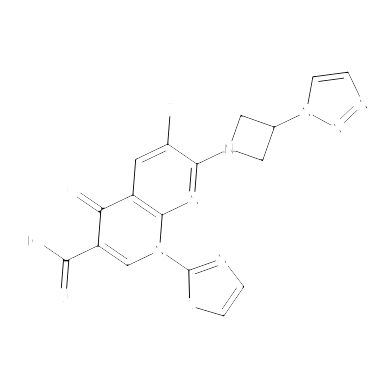 O=C(O)c1cn(-c2nccs2)c2nc(N3CC(n4ccnn4)C3)c(F)cc2c1=O